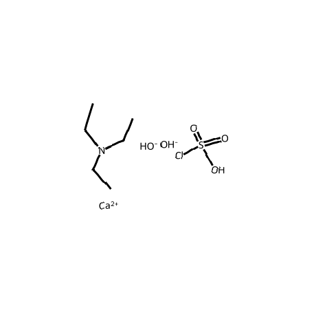 CCN(CC)CC.O=S(=O)(O)Cl.[Ca+2].[OH-].[OH-]